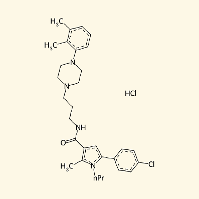 CCCn1c(-c2ccc(Cl)cc2)cc(C(=O)NCCCN2CCN(c3cccc(C)c3C)CC2)c1C.Cl